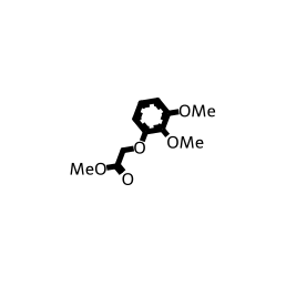 COC(=O)COc1cccc(OC)c1OC